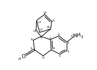 Nc1ccc2c(c1)C1(CC(=O)C2)CC2C=CC1C2